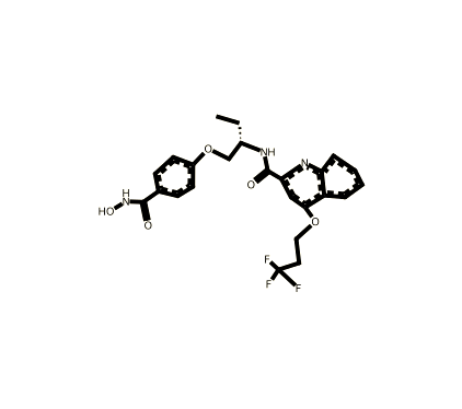 CC[C@@H](COc1ccc(C(=O)NO)cc1)NC(=O)c1cc(OCCC(F)(F)F)c2ccccc2n1